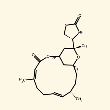 C/C1=C/C(=O)O[C@@H]2C[C@@H](CC[C@H](C)/C=C/CC1)O[C@@](O)([C@@H]1CSC(=O)N1)C2